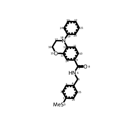 CSc1ccc(CNC(=O)c2ccc3c(c2)OCCN3c2ccccc2)cc1